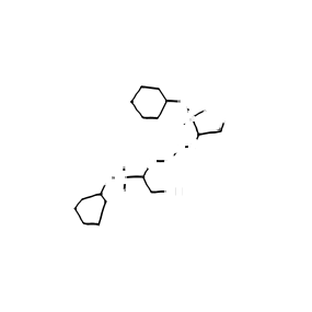 CCC(SSSSC(CC)[Si](C)(C)OC1CCCCC1)[Si](C)(C)OC1CCCCC1